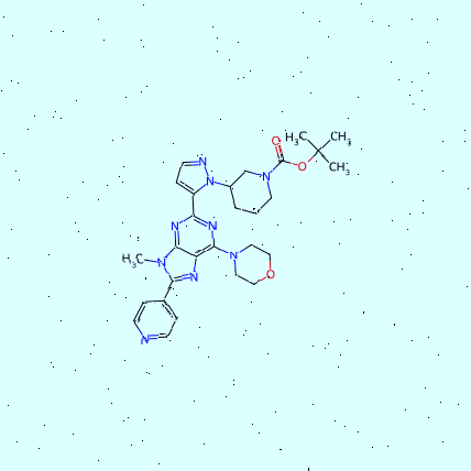 Cn1c(-c2ccncc2)nc2c(N3CCOCC3)nc(-c3ccnn3C3CCCN(C(=O)OC(C)(C)C)C3)nc21